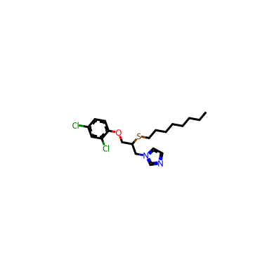 CCCCCCCCSC(COc1ccc(Cl)cc1Cl)Cn1ccnc1